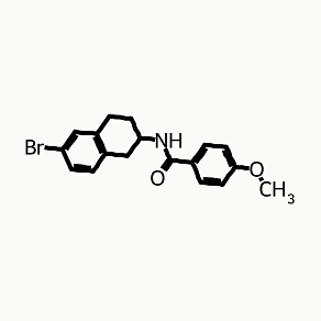 COc1ccc(C(=O)NC2CCc3cc(Br)ccc3C2)cc1